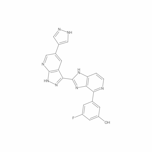 Oc1cc(F)cc(-c2nccc3[nH]c(-c4n[nH]c5ncc(-c6cn[nH]c6)cc45)nc23)c1